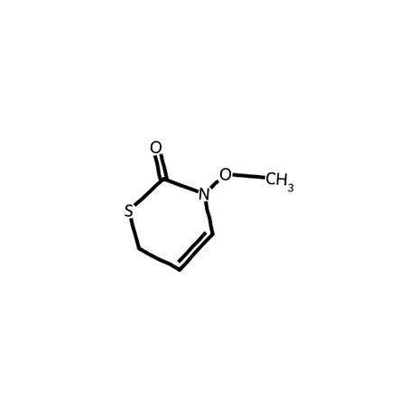 CON1C=CCSC1=O